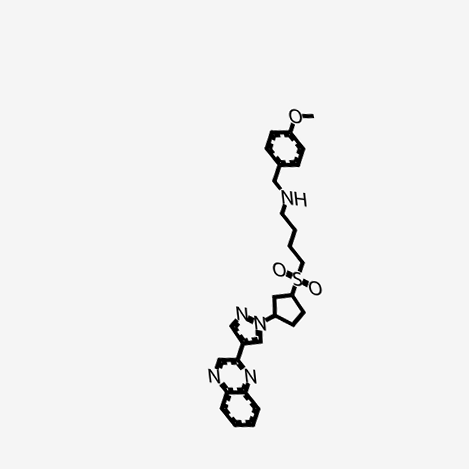 COc1ccc(CNCCCCS(=O)(=O)C2CCC(n3cc(-c4cnc5ccccc5n4)cn3)C2)cc1